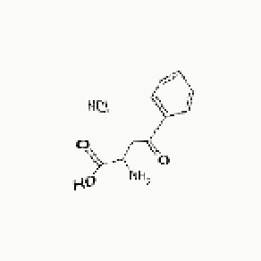 Cl.NC(CC(=O)c1ccccc1)C(=O)O